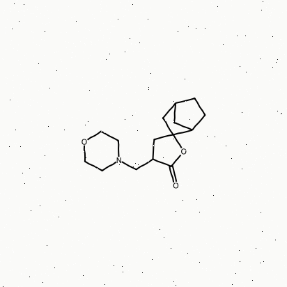 O=C1OC2(CC3CCC2C3)CC1CN1CCOCC1